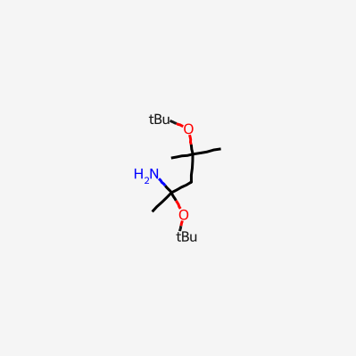 CC(C)(C)OC(C)(C)CC(C)(N)OC(C)(C)C